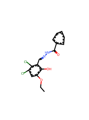 CCOc1cc(Cl)c(Cl)c(C=NNC(=O)c2ccccc2)c1O